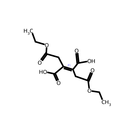 CCOC(=O)C/C(C(=O)O)=C(/CC(=O)OCC)C(=O)O